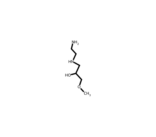 COCC(O)CNCCN